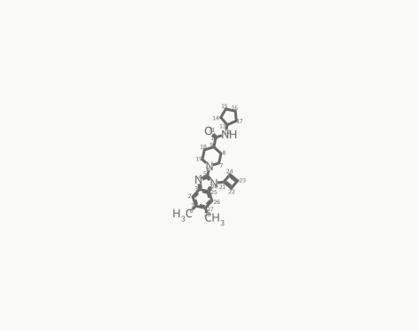 Cc1cc2nc(N3CCC(C(=O)NC4CCCC4)CC3)n(C3=CC=C3)c2cc1C